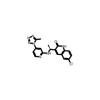 Cc1nnnn1-c1ccnc(N[C@@H](C)c2cc3cc(Cl)ccc3[nH]c2=O)c1